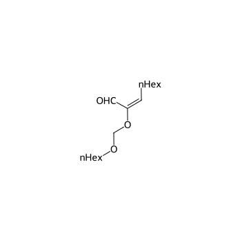 CCCCCC/C=C(\C=O)OCOCCCCCC